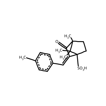 Cc1ccc(C=C2C(=O)C3(C)CCC2(S(=O)(=O)O)C3(C)C)cc1